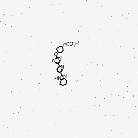 O=C(O)C[C@H]1CC[C@@H](Oc2ncc(-c3ccc(-c4nc5c([nH]4)CCCC5)cn3)cn2)CC1